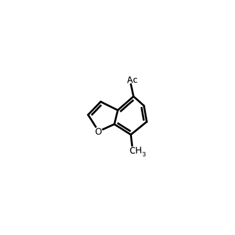 CC(=O)c1ccc(C)c2occc12